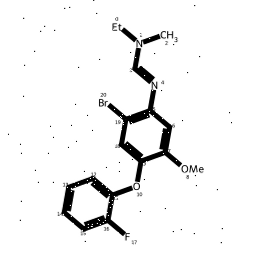 CCN(C)/C=N/c1cc(OC)c(Oc2ccccc2F)cc1Br